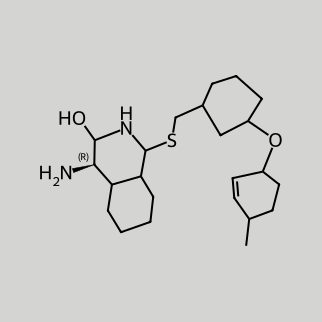 CC1C=CC(OC2CCCC(CSC3NC(O)[C@H](N)C4CCCCC34)C2)CC1